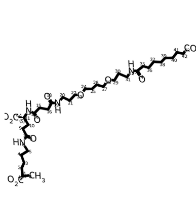 C[C@@H](CCCCNC(=O)CC[C@H](NC(=O)CCC(=O)NCCCOCCCCOCCCNC(=O)CCCCCCCCC(=O)O)C(=O)O)C(=O)O